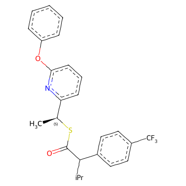 CC(C)C(C(=O)S[C@@H](C)c1cccc(Oc2ccccc2)n1)c1ccc(C(F)(F)F)cc1